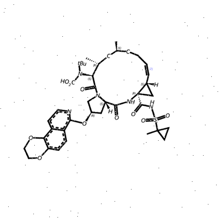 C[C@H]1CC/C=C\[C@@H]2C[C@@]2(C(=O)NS(=O)(=O)C2(C)CC2)NC(=O)[C@@H]2C[C@@H](Oc3nccc4c5c(ccc34)OCCO5)CN2C(=O)[C@@H](N(C(=O)O)C(C)(C)C)[C@H](C)C1